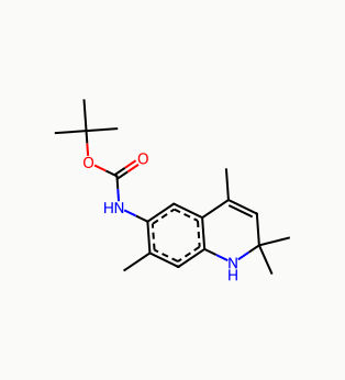 CC1=CC(C)(C)Nc2cc(C)c(NC(=O)OC(C)(C)C)cc21